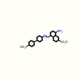 Nc1ccc(/N=N/c2ccc(-c3ccc(S(=O)(=O)O)cc3)cc2)c2ccc(S(=O)(=O)O)cc12